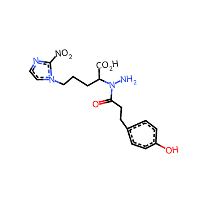 NN(C(=O)CCc1ccc(O)cc1)C(CCCn1ccnc1[N+](=O)[O-])C(=O)O